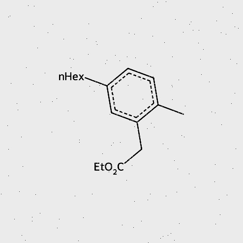 CCCCCCc1ccc(C)c(CC(=O)OCC)c1